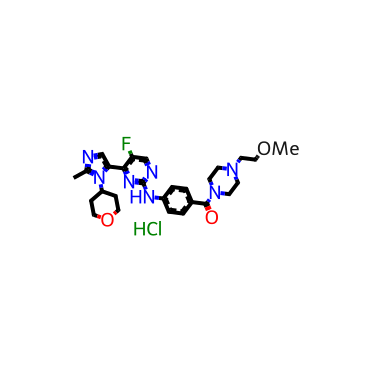 COCCN1CCN(C(=O)c2ccc(Nc3ncc(F)c(-c4cnc(C)n4C4CCOCC4)n3)cc2)CC1.Cl